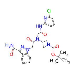 CC(C)(C)OC(=O)N1CC(N(CC(=O)Nc2cccc(Cl)n2)C(=O)Cn2nc(C(N)=O)c3ccccc32)C1